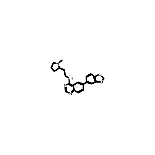 CN1CCCC1CCNc1ncnc2ccc(-c3ccc4c(c3)OCO4)cc12